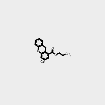 CCCOC(=O)c1cccc2c1Cc1ccccc1O2.[Ca]